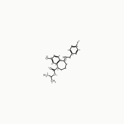 CC(C)OC(=O)N1CCCC(NCc2ccc(F)cc2)c2ccc(Cl)cc21